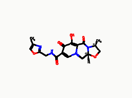 Cc1coc(CNC(=O)c2cn3c(c(O)c2=O)C(=O)N2[C@@H](C)CO[C@@H]2C3)n1